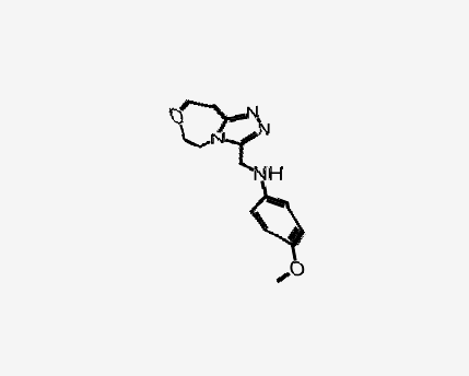 COc1ccc(NCc2nnc3n2CCOCC3)cc1